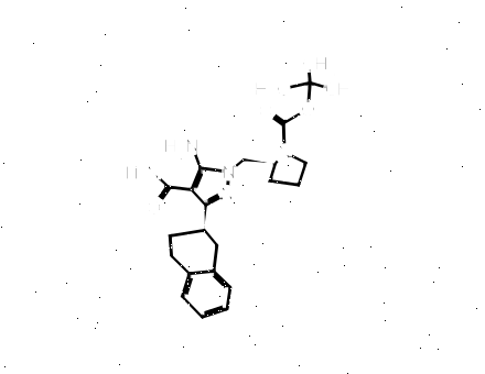 CC(C)(C)OC(=O)N1CCC[C@H]1Cn1nc([C@@H]2CCc3ccccc3C2)c(C(N)=O)c1N